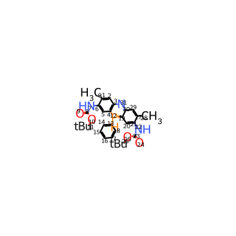 Cc1cc2c(cc1NC(=O)OC(C)(C)C)[PH](c1ccccc1)=c1cc(NC(=O)OC(C)(C)C)c(C)cc1=N2